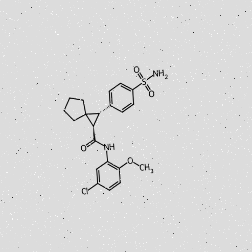 COc1ccc(Cl)cc1NC(=O)[C@@H]1[C@@H](c2ccc(S(N)(=O)=O)cc2)C12CCCC2